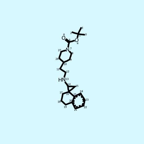 CC(C)(C)OC(=O)N1CCC(CCNC2CC23CCCc2ccccc23)CC1